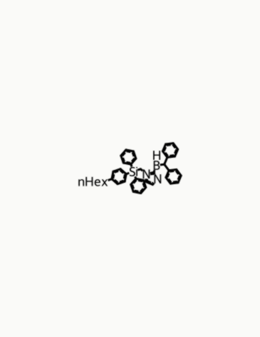 CCCCCCc1ccc([Si](Cn2ccnc2BC(c2ccccc2)c2ccccc2)(c2ccccc2)c2ccccc2)cc1